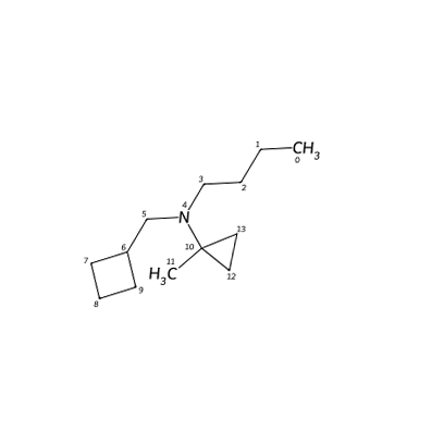 CCCCN(CC1CCC1)C1(C)CC1